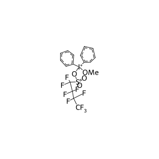 CO[I+](OS(=O)(=O)C(F)(F)C(F)(F)C(F)(F)C(F)(F)F)(c1ccccc1)c1ccccc1